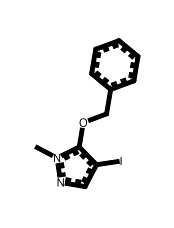 Cn1ncc(I)c1OCc1ccccc1